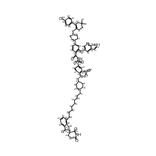 CC1(C)CCC(CN2CCN(c3ccc(C(=O)NS(=O)(=O)c4ccc(NCC5CCN(CCCCCCCCCc6cccc7c6CN(C6CCC(=O)NC6=O)C7=O)CC5)c([N+](=O)[O-])c4)c(Oc4cnc5[nH]ccc5c4)c3)CC2)=C(c2ccc(Cl)cc2)C1